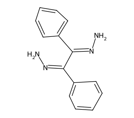 NN=C(C(=NN)c1ccccc1)c1ccccc1